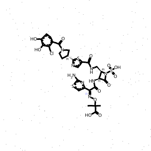 CC(C)(O/N=C(\C(=O)N[C@@H]1C(=O)N(S(=O)(=O)O)[C@@H]1CNC(=O)c1cnc([C@@H]2CCN(C(=O)c3ccc(O)c(O)c3Cl)C2)s1)c1csc(N)n1)C(=O)O